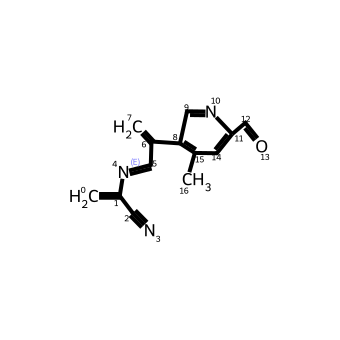 C=C(C#N)/N=C/C(=C)c1cnc(C=O)cc1C